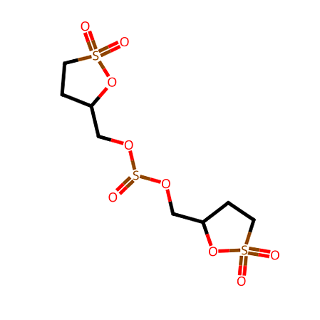 O=S(OCC1CCS(=O)(=O)O1)OCC1CCS(=O)(=O)O1